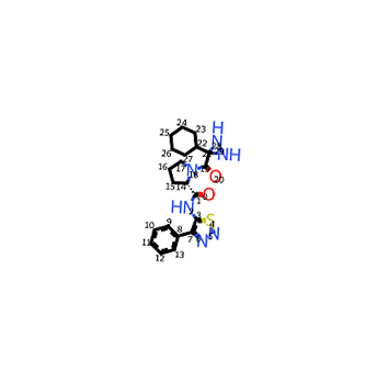 O=C(Nc1snnc1-c1ccccc1)[C@@H]1CCCN1C(=O)C1(C2CCCCC2)NN1